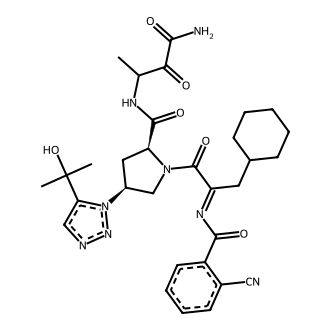 CC(NC(=O)[C@@H]1C[C@H](n2nncc2C(C)(C)O)CN1C(=O)/C(CC1CCCCC1)=N/C(=O)c1ccccc1C#N)C(=O)C(N)=O